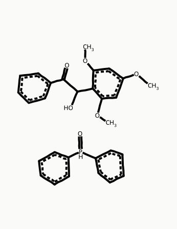 COc1cc(OC)c(C(O)C(=O)c2ccccc2)c(OC)c1.O=[PH](c1ccccc1)c1ccccc1